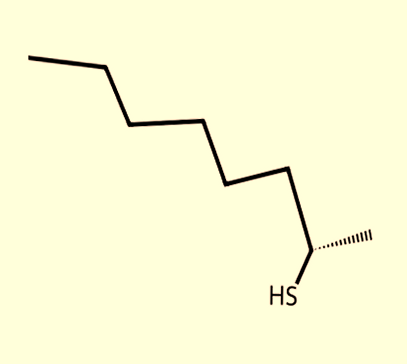 CCCCCC[C@H](C)S